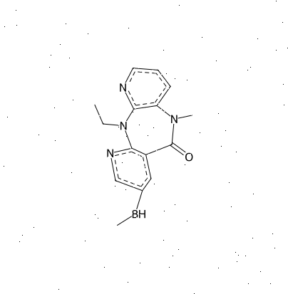 CBc1cnc2c(c1)C(=O)N(C)c1cccnc1N2CC